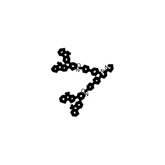 CC1(C)c2ccccc2-c2ccc(-c3cc4nc(-c5ccc(-c6ccc(-c7ccc(-c8ccccn8)nc7-c7ccc(-c8ccc(-c9nc%10cc(-c%11ccc%12c(c%11)C(C)(C)c%11ccccc%11-%12)c(-c%11ccc%12c(c%11)C(C)(C)c%11ccccc%11-%12)cc%10o9)cc8)cc7)cc6)cc5)oc4cc3-c3ccc4c(c3)C(C)(C)c3ccccc3-4)cc21